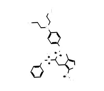 Cc1csc([N+](=O)[O-])c1CC(S(=O)(=O)Oc1ccccc1)S(=O)(=O)Oc1ccc(N(CCCl)CCCl)cc1